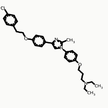 CCN(CC)CCCOc1ccc(-n2cc(-c3ccc(OCCc4ccc(Cl)cc4)cc3)nc2C)cc1